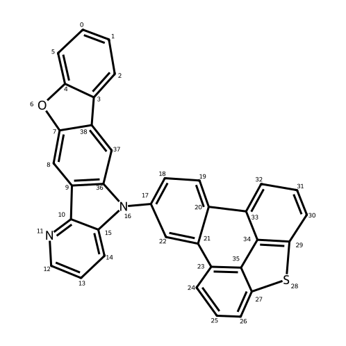 c1ccc2c(c1)oc1cc3c4ncccc4n(-c4ccc5c(c4)c4cccc6sc7cccc5c7c64)c3cc12